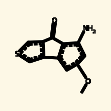 COc1cc(N)c2c(c1)-c1cscc1C2=O